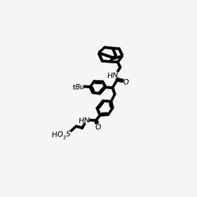 CC(C)(C)c1ccc(C(Cc2ccc(C(=O)NCCS(=O)(=O)O)cc2)C(=O)NCC2C3CC4CC(C3)CC2C4)cc1